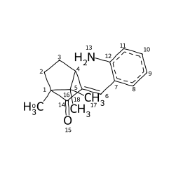 CC12CCC(C(=Cc3ccccc3N)C1=O)C2(C)C